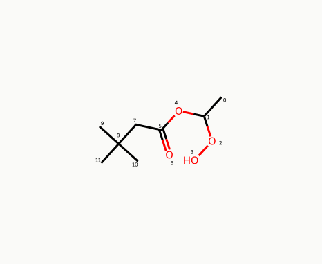 CC(OO)OC(=O)CC(C)(C)C